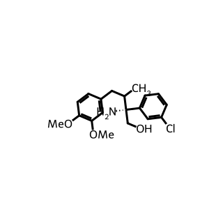 COc1ccc(CC(C)[C@](N)(CO)c2cccc(Cl)c2)cc1OC